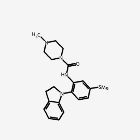 CSc1ccc(N2CCc3ccccc32)c(NC(=O)N2CCN(C)CC2)c1